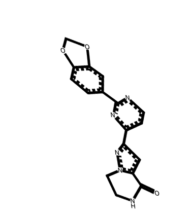 O=C1NCCn2nc(-c3ccnc(-c4ccc5c(c4)OCO5)n3)cc21